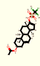 CC(=O)O[C@H]1CC[C@@]2(C)C(=CCC3[C@@H]2CC[C@]2(C)C(OS(=O)(=O)C(F)(F)F)=CC[C@@H]32)C1